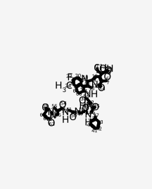 CC[C@@]1(O)C(=O)OCc2c1cc1n(c2=O)Cc2c-1nc1cc(F)c(C)c3c1c2[C@@H](NC(=O)CNC(=O)[C@H](Cc1ccccc1)NC(=O)CNC(=O)CNC(=O)C1Cn2c(=O)ccc(=O)n2C1)CC3